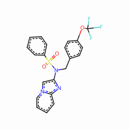 O=S(=O)(c1ccccc1)N(Cc1ccc(OC(F)(F)F)cc1)c1cn2ccccc2n1